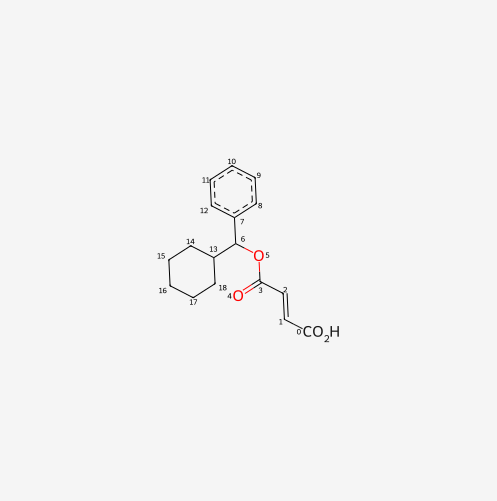 O=C(O)/C=C/C(=O)OC(c1ccccc1)C1CCCCC1